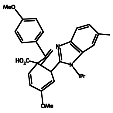 C=C(c1ccc(OC)cc1)C1(C(=O)O)C=CC(OC)=CC1c1nc2ccc(C)cc2n1C(C)C